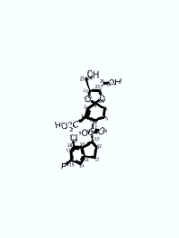 O=C(O)C1=CC2(CC[C@H]1S(=O)(=O)[C@H]1CCc3cc(F)cc(Cl)c31)O[C@@H](CO)[C@H](CO)O2